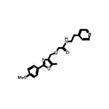 CSc1ccc(-c2nc(COCC(=O)NCCc3ccncc3)c(C)o2)cc1